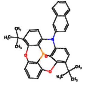 CC(C)(C)c1ccc2c3c1Oc1cccc4c1P3(=O)c1c(ccc(C(C)(C)C)c1O4)N2c1ccc2ccccc2c1